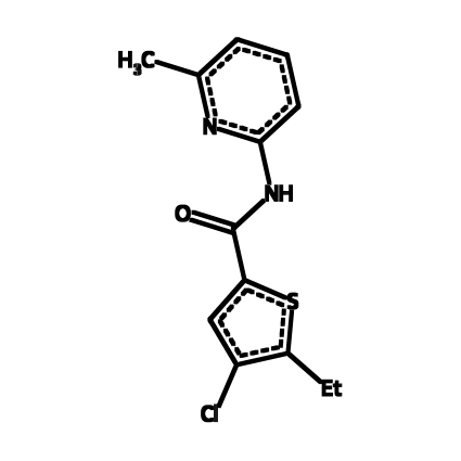 CCc1sc(C(=O)Nc2cccc(C)n2)cc1Cl